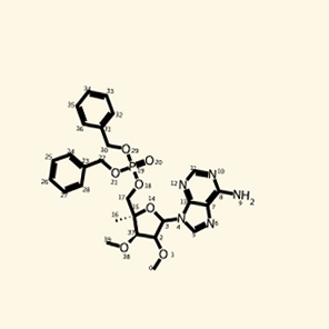 COC1C(n2cnc3c(N)ncnc32)O[C@](C)(COP(=O)(OCc2ccccc2)OCc2ccccc2)[C@@H]1OC